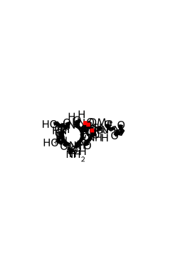 CC[C@H](C)[C@@H]1NC(=O)CNC(=O)[C@@H]2Cc3c([nH]c4c(CSCCNC(=O)CCN5C(=O)C=CC5=O)c(OC)ccc34)[S+]([O-])C[C@H](NC(=O)CNC1=O)C(=O)N[C@@H](CC(N)=O)C(=O)N1C[C@H](O)C[C@H]1C(=O)N[C@@H]([C@@H](C)[C@@H](O)CO)C(=O)N2